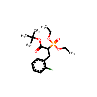 CCOP(=O)(OCC)C(Cc1ccccc1Cl)C(=O)OC(C)(C)C